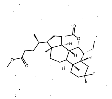 CC[C@H]1[C@@H](OC(C)=O)[C@@H]2[C@H](CC[C@]3(C)[C@@H]([C@H](C)CCC(=O)OC)CC[C@@H]23)[C@@]2(C)CCC(F)(F)C[C@@H]12